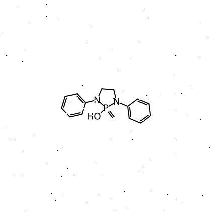 C=P1(O)N(c2ccccc2)CCN1c1ccccc1